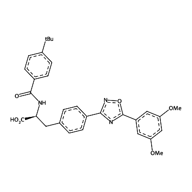 COc1cc(OC)cc(-c2nc(-c3ccc(C[C@H](NC(=O)c4ccc(C(C)(C)C)cc4)C(=O)O)cc3)no2)c1